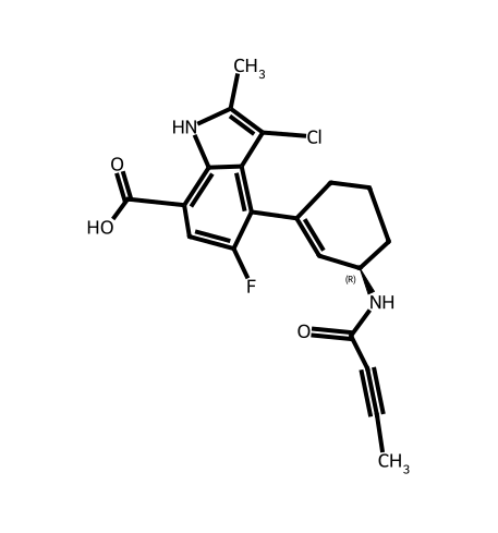 CC#CC(=O)N[C@H]1C=C(c2c(F)cc(C(=O)O)c3[nH]c(C)c(Cl)c23)CCC1